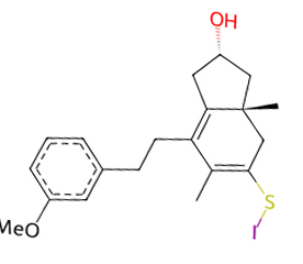 COc1cccc(CCC2=C3C[C@H](O)C[C@]3(C)CC(SI)=C2C)c1